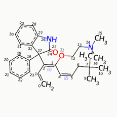 C=C/C(=C(\C=C/CC(C)(C)C)OCCN(C)C)C1(c2ccccc2)C(=O)Nc2ccccc21